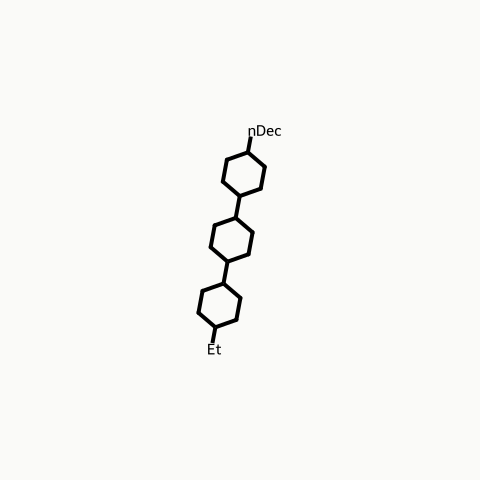 CCCCCCCCCCC1CCC(C2CCC(C3CCC(CC)CC3)CC2)CC1